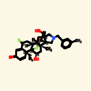 Cc1cccc(CN2C[C@@H]3C[C@H]4[C@@H]5C[C@H](F)C6=CC(=O)C=C[C@]6(C)[C@@]5(F)[C@@H](O)C[C@]4(C)[C@]3(C(=O)CO)C2)c1